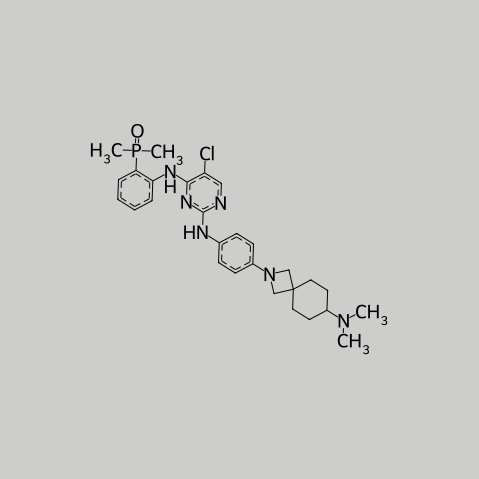 CN(C)C1CCC2(CC1)CN(c1ccc(Nc3ncc(Cl)c(Nc4ccccc4P(C)(C)=O)n3)cc1)C2